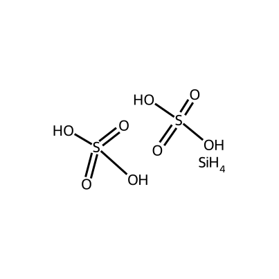 O=S(=O)(O)O.O=S(=O)(O)O.[SiH4]